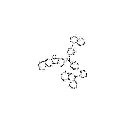 c1ccc(-c2cc3ccccc3c3ccccc23)c(-c2ccc(N(c3ccc(-c4cccc5ccccc45)cc3)c3ccc4c(c3)oc3cc5ccccc5cc34)cc2)c1